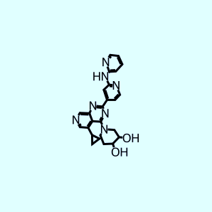 OC1CCN(c2nc(-c3ccnc(Nc4ccccn4)c3)nc3cncc(C4CC4)c23)CC1O